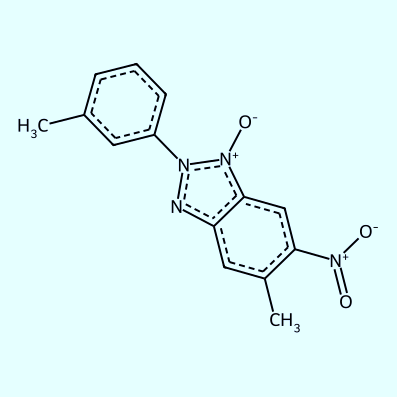 Cc1cccc(-n2nc3cc(C)c([N+](=O)[O-])cc3[n+]2[O-])c1